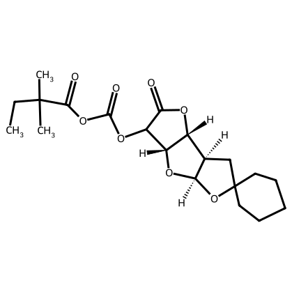 CCC(C)(C)C(=O)OC(=O)OC1C(=O)O[C@@H]2[C@H]3CC4(CCCCC4)O[C@H]3O[C@H]12